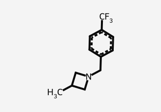 CC1CN(Cc2ccc(C(F)(F)F)cc2)C1